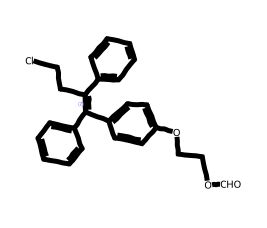 O=COCCOc1ccc(/C(=C(/CCCl)c2ccccc2)c2ccccc2)cc1